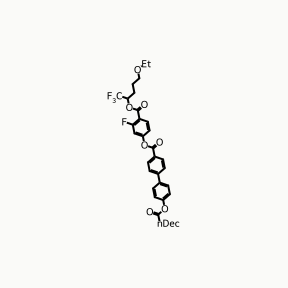 CCCCCCCCCCC(=O)Oc1ccc(-c2ccc(C(=O)Oc3ccc(C(=O)OC(CCCOCC)C(F)(F)F)c(F)c3)cc2)cc1